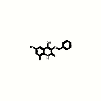 Cc1cc(Br)cc2c(O)c(OCc3ccccc3)c(=O)[nH]c12